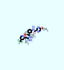 COc1cnc(C(=O)Nc2ccc(F)c([C@]3(C)CS(=O)(=O)[C@](C)(c4cc(C(F)(F)F)ccn4)C(=N)N3)c2)cn1